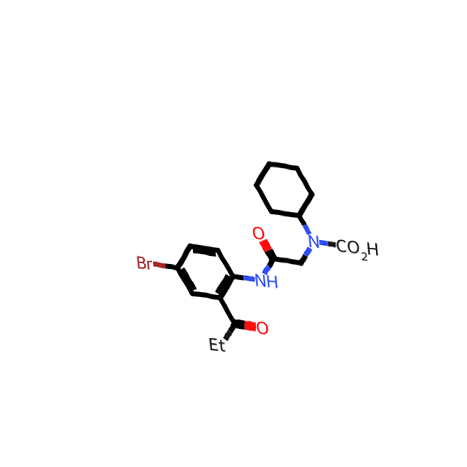 CCC(=O)c1cc(Br)ccc1NC(=O)CN(C(=O)O)C1CCCCC1